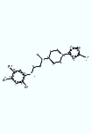 CC(C)c1noc(N2CCC(N(C)CCOc3cc(F)c(Br)cc3F)CC2)n1